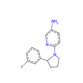 Nc1ccc(N2CCCC2c2cccc(F)c2)nc1